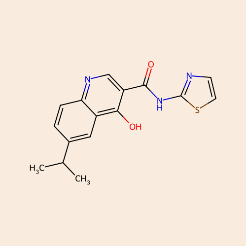 CC(C)c1ccc2ncc(C(=O)Nc3nccs3)c(O)c2c1